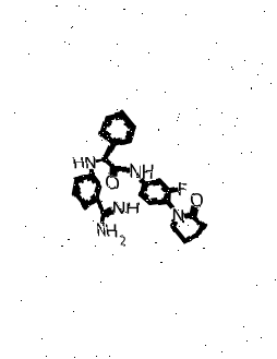 N=C(N)c1cccc(N[C@H](C(=O)Nc2ccc(N3CCCCC3=O)c(F)c2)c2ccccc2)c1